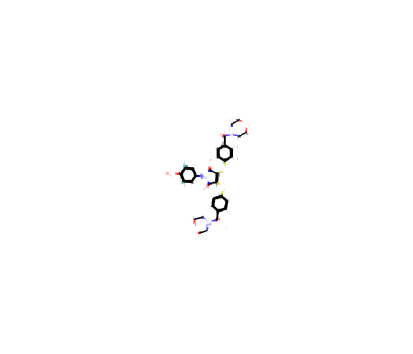 O=C(c1ccc(SC2=C(Sc3ccc(C(=O)N4CCOCC4)cc3)C(=O)N(c3cc(F)c(O)c(F)c3)C2=O)cc1)N1CCOCC1